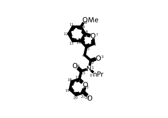 CCCN(C(=O)Cc1coc2c(OC)cccc12)C(=O)c1cccc(=O)o1